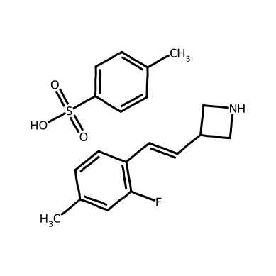 Cc1ccc(C=CC2CNC2)c(F)c1.Cc1ccc(S(=O)(=O)O)cc1